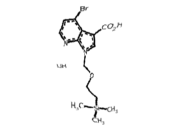 C[Si](C)(C)CCOCn1cc(C(=O)O)c2c(Br)ccnc21.[LiH]